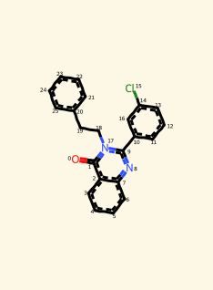 O=c1c2ccccc2nc(-c2cccc(Cl)c2)n1CCc1ccccc1